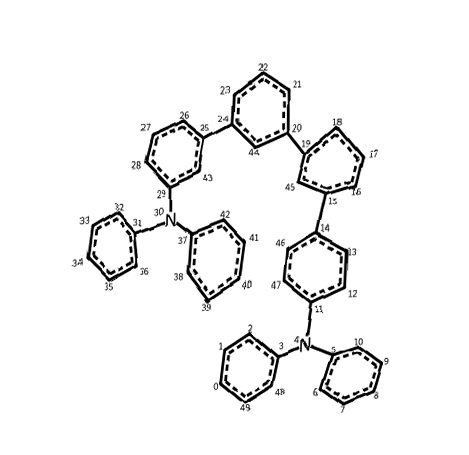 c1ccc(N(c2ccccc2)c2ccc(-c3cccc(-c4cccc(-c5cccc(N(c6ccccc6)c6ccccc6)c5)c4)c3)cc2)cc1